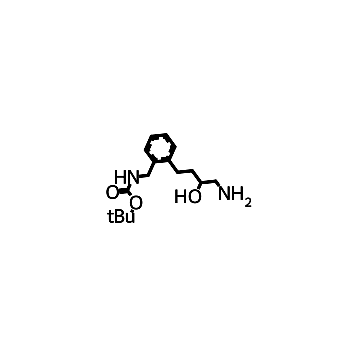 CC(C)(C)OC(=O)NCc1ccccc1CCC(O)CN